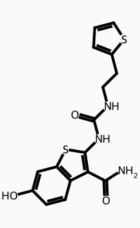 NC(=O)c1c(NC(=O)NCCc2cccs2)sc2cc(O)ccc12